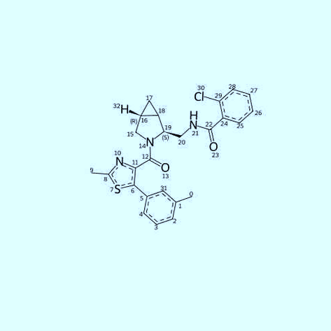 Cc1cccc(-c2sc(C)nc2C(=O)N2C[C@@H]3CC3[C@H]2CNC(=O)c2ccccc2Cl)c1